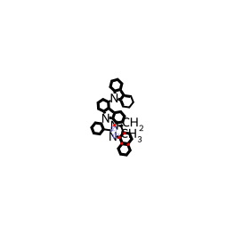 C=C(/N=C(\N=C(/C)c1ccccc1)c1ccccc1-n1c2ccccc2c2c(-n3c4c(c5ccccc53)=CCCC=4)cccc21)c1ccccc1